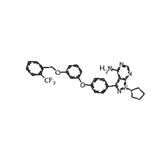 Nc1ncnc2c1c(-c1ccc(Oc3cccc(OCc4ccccc4C(F)(F)F)c3)cc1)nn2C1CCCC1